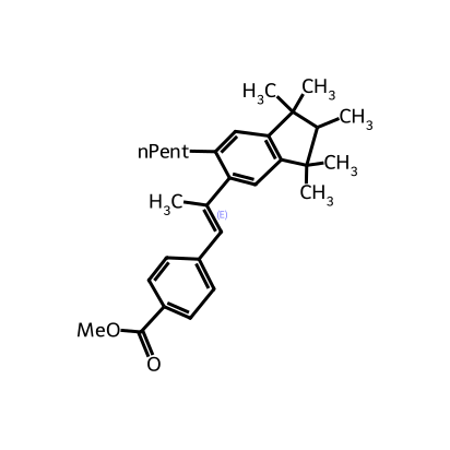 CCCCCc1cc2c(cc1/C(C)=C/c1ccc(C(=O)OC)cc1)C(C)(C)C(C)C2(C)C